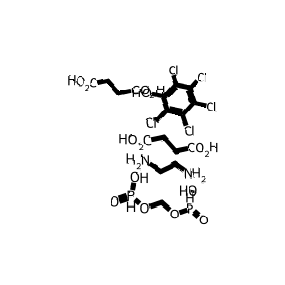 NCCN.O=C(O)CCC(=O)O.O=C(O)CCC(=O)O.O=[PH](O)OCO[PH](=O)O.Oc1c(Cl)c(Cl)c(Cl)c(Cl)c1Cl